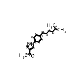 CC(=O)c1cn(-c2ccc(CCCCC(C)C)cc2)nn1